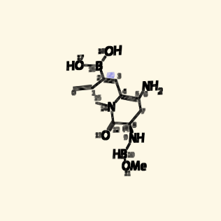 C=C/C(=C\C1=C(N)C[C@@H](NBOC)C(=O)N1C)B(O)O